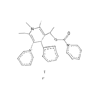 CC1=C(C(C)OC(=O)[n+]2ccccc2)C(c2ccccc2)C([n+]2ccccc2)=C(C)N1C.[I-].[I-]